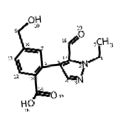 CCn1ncc(-c2cc(CO)ccc2C(=O)O)c1C=O